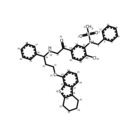 CS(=O)(=O)N(Cc1ccccc1)c1cc(C(=O)CNC(CCOc2cccc3c4c(sc23)CCCC4)c2ccccc2)ccc1Cl